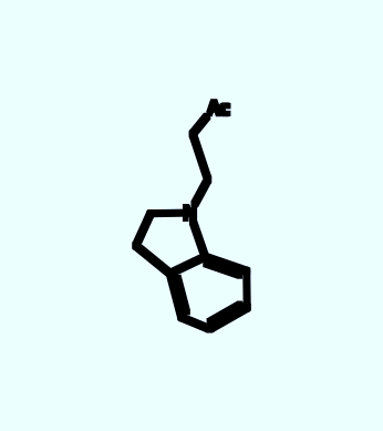 CC(=O)CCN1CCc2ccccc21